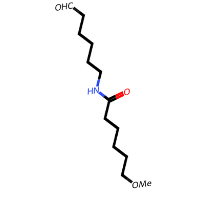 COCCCCCC(=O)NCCCCCC=O